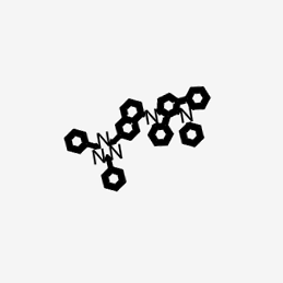 c1ccc(-c2nc(-c3ccccc3)nc(-c3ccc4c(-n5c6ccccc6c6c5ccc5c7ccccc7n(-c7ccccc7)c56)cccc4c3)n2)cc1